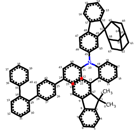 CC1(C)c2ccccc2-c2cccc(-c3ccccc3N(c3ccc(-c4ccc(-c5ccccc5-c5ccccc5)cc4)cc3)c3ccc4c(c3)C3(c5ccccc5-4)C4CC5CC(C4)CC3C5)c21